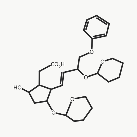 O=C(O)CC1C(O)CC(OC2CCCCO2)C1C=CC(COc1ccccc1)OC1CCCCO1